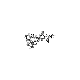 [C-]#[N+]/C(C#N)=C/c1ccc(N(CCOc2ccccc2)CCOc2ccccc2)cc1C